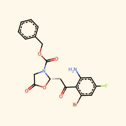 Nc1cc(F)cc(Br)c1C(=O)C[C@@H]1OC(=O)CN1C(=O)OCc1ccccc1